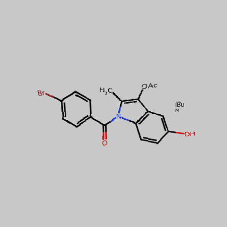 CC[C@H](C)c1c(O)ccc2c1c(OC(C)=O)c(C)n2C(=O)c1ccc(Br)cc1